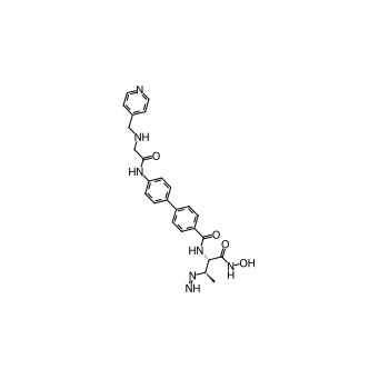 C[C@@H](N=N)[C@H](NC(=O)c1ccc(-c2ccc(NC(=O)CNCc3ccncc3)cc2)cc1)C(=O)NO